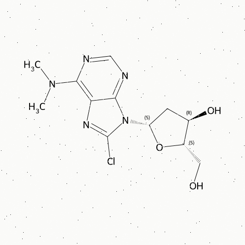 CN(C)c1ncnc2c1nc(Cl)n2[C@@H]1C[C@@H](O)[C@H](CO)O1